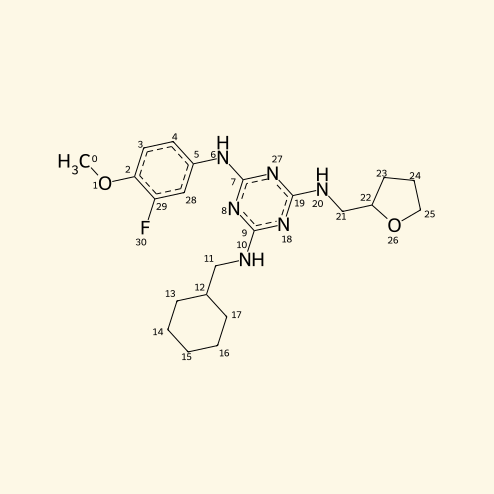 COc1ccc(Nc2nc(NCC3CCCCC3)nc(NCC3CCCO3)n2)cc1F